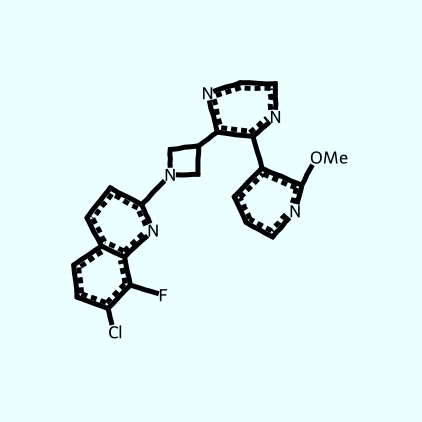 COc1ncccc1-c1nccnc1C1CN(c2ccc3ccc(Cl)c(F)c3n2)C1